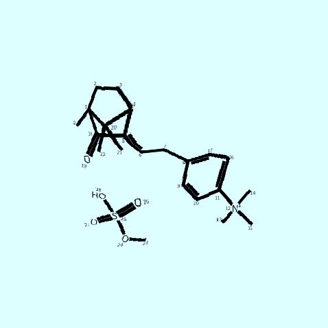 CC12CCC(C(=CCc3ccc([N+](C)(C)C)cc3)C1=O)C2(C)C.COS(=O)(=O)O